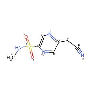 CNS(=O)(=O)c1cnc(CC#N)cn1